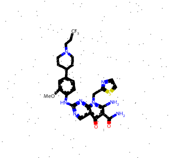 COc1cc(C2CCN(CCC(F)(F)F)CC2)ccc1Nc1ncc2c(=O)c(C(N)=O)c(N)n(Cc3nccs3)c2n1